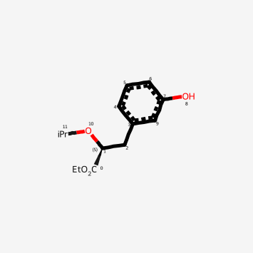 CCOC(=O)[C@H](Cc1cccc(O)c1)OC(C)C